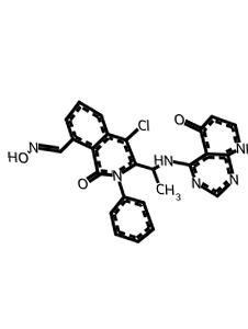 CC(Nc1ncnc2[nH]ccc(=O)c12)c1c(Cl)c2cccc(C=NO)c2c(=O)n1-c1ccccc1